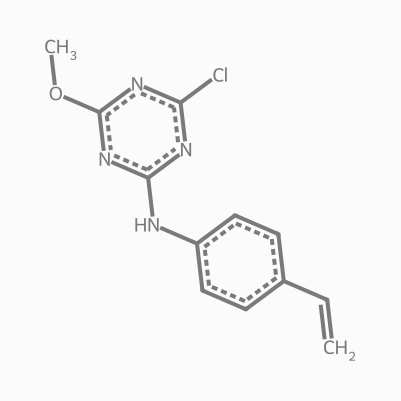 C=Cc1ccc(Nc2nc(Cl)nc(OC)n2)cc1